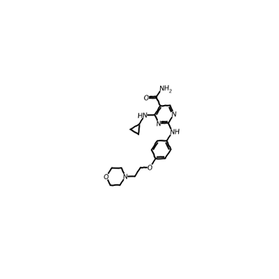 NC(=O)c1cnc(Nc2ccc(OCCN3CCOCC3)cc2)nc1NC1CC1